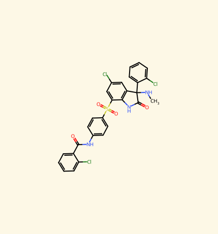 CNC1(c2ccccc2Cl)C(=O)Nc2c1cc(Cl)cc2S(=O)(=O)c1ccc(NC(=O)c2ccccc2Cl)cc1